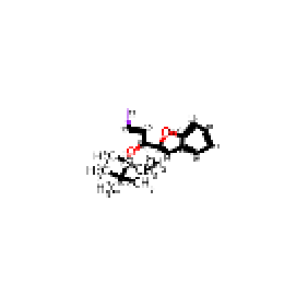 CC(C)(C)[Si](C)(C)O[C@@](C)(C=CI)c1cc2ccccc2o1